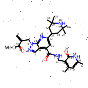 C=C(Cn1ncc2c(C(=O)NCc3c(C)cc(C)[nH]c3=O)cc(C3CC(C)(C)NC(C)(C)C3)nc21)C(=O)OC